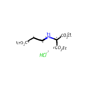 CCOC(=O)CCNC(C(=O)OCC)C(=O)OCC.Cl